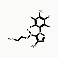 COCCON(C(C)=O)c1c([N+](=O)[O-])cnn1-c1c(F)c(F)c(C(F)(F)F)c(F)c1F